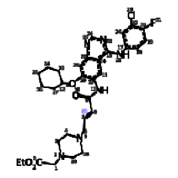 CCOC(=O)CN1CCN(C/C=C/C(=O)Nc2cc3c(Nc4ccc(F)c(Cl)c4)ncnc3cc2OC2CCCCC2)CC1